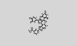 COC(=O)c1cccc(-c2nc3c(C4SC(c5ccc(F)c(F)c5)=NN4C(=O)c4c(F)cc(F)cc4F)cccc3o2)c1